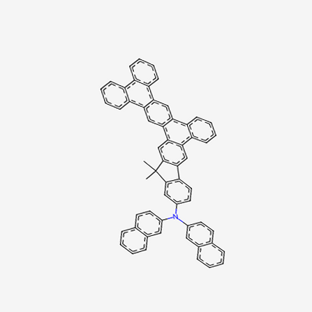 CC1(C)c2cc(N(c3ccc4ccccc4c3)c3ccc4ccccc4c3)ccc2-c2cc3c4ccccc4c4cc5c6ccccc6c6ccccc6c5cc4c3cc21